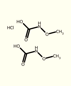 CONC(=O)O.CONC(=O)O.Cl